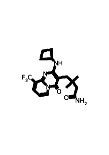 CC(C)(CC(N)=O)Cc1c(NC2CCC2)nc2c(C(F)(F)F)cccn2c1=O